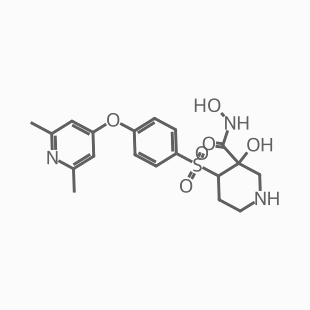 Cc1cc(Oc2ccc(S(=O)(=O)C3CCNCC3(O)C(=O)NO)cc2)cc(C)n1